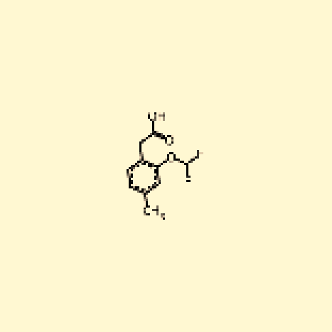 Cc1ccc(CC(=O)O)c(OC(F)F)c1